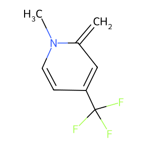 C=C1C=C(C(F)(F)F)C=CN1C